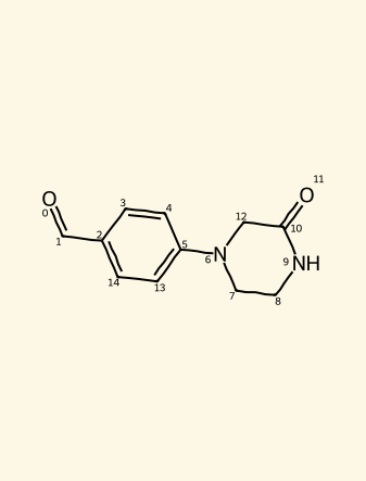 O=Cc1ccc(N2CCNC(=O)C2)cc1